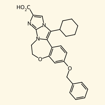 O=C(O)c1cn2c(C3CCCCC3)c3n(c2n1)CCOc1cc(OCc2ccccc2)ccc1-3